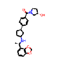 C[C@@H](N[C@H]1CC[C@@H](c2ccc(C(=O)N3CC[C@H](O)C3)cc2)C1)c1cccc2c1OCO2